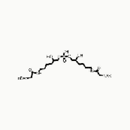 CCCCCCCCCCCC(=O)NCCCCC(O)COP(=O)(O)OCC(O)CCCCNC(=O)CCCCCCCCCCC